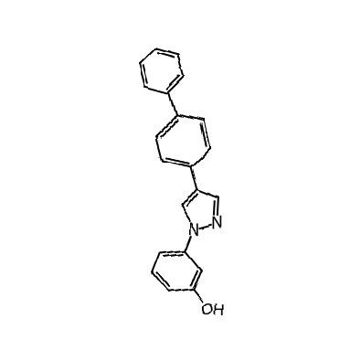 Oc1cccc(-n2cc(-c3ccc(-c4ccccc4)cc3)cn2)c1